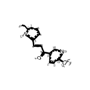 Cc1cccc(/C=C/C(=O)c2ccc(C(F)(F)F)nc2)n1